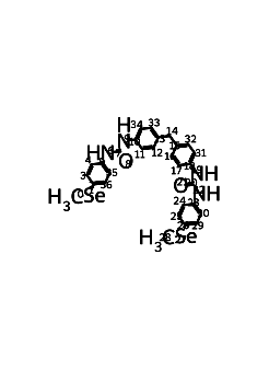 C[Se]c1ccc(NC(=O)Nc2ccc(Cc3ccc(NC(=O)Nc4ccc([Se]C)cc4)cc3)cc2)cc1